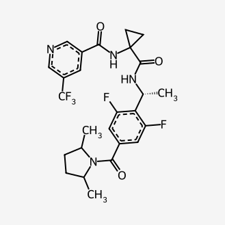 CC1CCC(C)N1C(=O)c1cc(F)c([C@@H](C)NC(=O)C2(NC(=O)c3cncc(C(F)(F)F)c3)CC2)c(F)c1